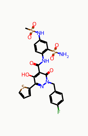 CS(=O)(=O)Nc1ccc(NC(=O)c2c(O)c(-c3cccs3)nn(Cc3ccc(F)cc3)c2=O)c(S(N)(=O)=O)c1